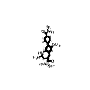 CCCN(CCC)C(=O)C1=Cc2cc(OC)c(-c3ccc(C(=O)N(CCC)CCC)cc3)cc2NC(N)C1